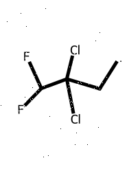 [CH2]CC(Cl)(Cl)C(F)F